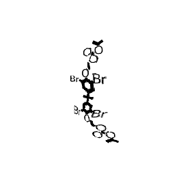 C=C(C)OC(=O)OCCOc1c(Br)cc(C(C)(C)c2cc(Br)c(OCCOC(=O)OC(=C)C)c(Br)c2)cc1Br